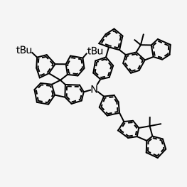 CC(C)(C)c1ccc2c(c1)-c1cc(C(C)(C)C)ccc1C21c2ccccc2-c2ccc(N(c3ccc(-c4ccc5c(c4)C(C)(C)c4ccccc4-5)cc3)c3ccc(-c4ccccc4-c4cccc5c4C(C)(C)c4ccccc4-5)cc3)cc21